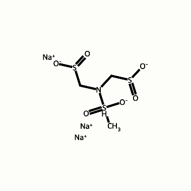 C[SH](=O)([O-])N(CS(=O)[O-])CS(=O)[O-].[Na+].[Na+].[Na+]